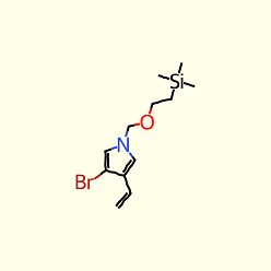 C=Cc1cn(COCC[Si](C)(C)C)cc1Br